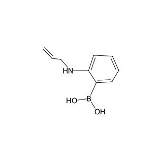 C=CCNc1ccccc1B(O)O